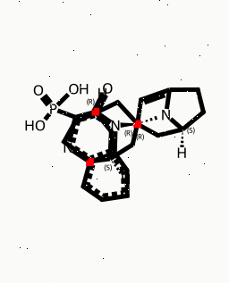 O=c1c(P(=O)(O)O)nc2ccccc2n1[C@H]1C=C2CC[C@@H](C1)N2[C@H]1C[C@@H]2CCC[C@@H](C2)C1